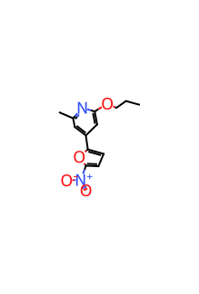 CCCOc1cc(-c2ccc([N+](=O)[O-])o2)cc(C)n1